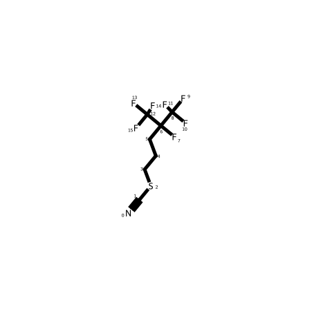 N#CSCCCC(F)(C(F)(F)F)C(F)(F)F